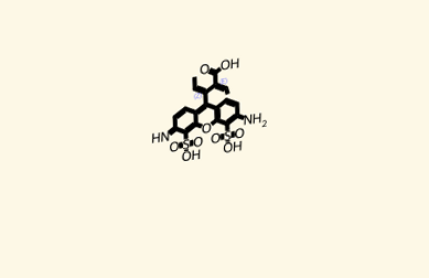 C/C=C(\C(=C/C)C(=O)O)c1c2ccc(=N)c(S(=O)(=O)O)c-2oc2c(S(=O)(=O)O)c(N)ccc12